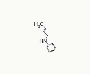 CC=CCNc1ccccc1